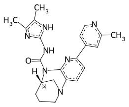 Cc1cc(-c2ccc3c(n2)N(C(=O)Nc2nc(C)c(C)[nH]2)[C@H]2CCCN3C2)ccn1